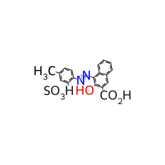 Cc1ccc(/N=N/c2c(O)c(C(=O)O)cc3ccccc23)c(S(=O)(=O)O)c1